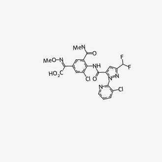 CNC(=O)c1cc(C(=NOC)C(=O)O)cc(Cl)c1NC(=O)c1cc(C(F)F)nn1-c1ncccc1Cl